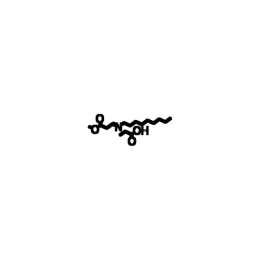 CCC(=O)O.CCCCCCCCCN=CCC(=O)OC